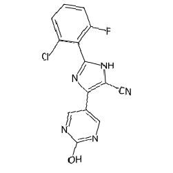 N#Cc1[nH]c(-c2c(F)cccc2Cl)nc1-c1cnc(O)nc1